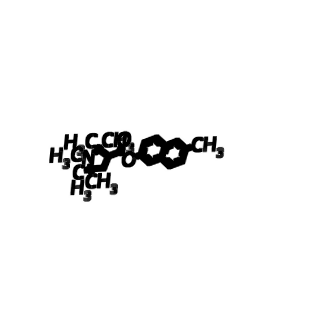 Cc1ccc2cc(OC(=O)C3CC(C)(C)N(C)C3(C)C)ccc2c1